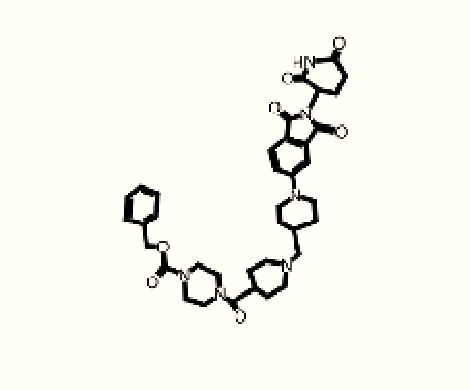 O=C1CCC(N2C(=O)c3ccc(N4CCC(CN5CCC(C(=O)N6CCN(C(=O)OCc7ccccc7)CC6)CC5)CC4)cc3C2=O)C(=O)N1